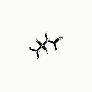 CC(=N)N(C)S(=O)(=O)N(C)C